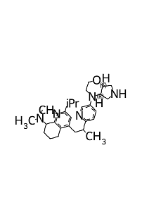 CC(C)c1cc(CC(C)c2ccc(N3CCO[C@H]4CNC[C@H]43)cn2)c2c(n1)C(N(C)C)CCC2